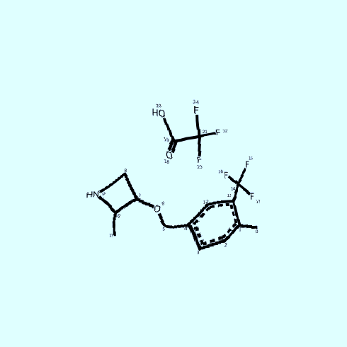 Cc1ccc(COC2CNC2C)cc1C(F)(F)F.O=C(O)C(F)(F)F